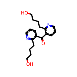 O=C(c1cccnc1CCCCO)c1cccnc1CCCCO